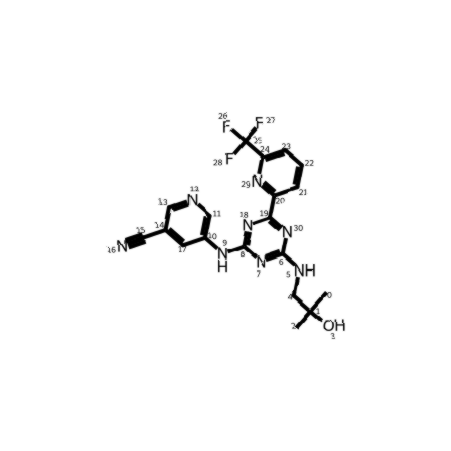 CC(C)(O)CNc1nc(Nc2cncc(C#N)c2)nc(-c2cccc(C(F)(F)F)n2)n1